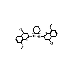 COc1cccc2c(Cl)cc(N[C@@H]3CCCC[C@H]3Nc3cc(Cl)c4cccc(OC)c4n3)nc12